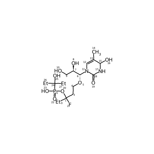 CCC(F)(CCO[C@H]([C@H](O)CO)N1C=C(C)C(O)NC1=O)OP(=O)(O)C(O)(CC)CC